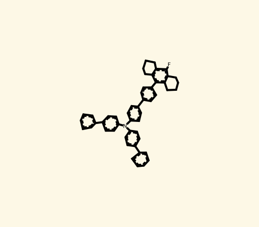 Fc1c2c(c(-c3ccc(-c4ccc(N(c5ccc(-c6ccccc6)cc5)c5ccc(-c6ccccc6)cc5)cc4)cc3)c3c1CCCC3)CCCC2